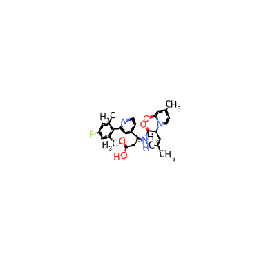 Cc1ccn(C(CC(C)C)C(=O)N[C@@H](CC(=O)O)c2ccnc(-c3c(C)cc(F)cc3C)c2)c(=O)c1